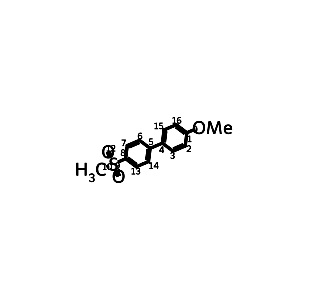 COc1ccc(-c2ccc(S(C)(=O)=O)cc2)cc1